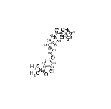 CN(C)C(=O)c1ccc(OCC[C@H]2CC23CCN(C(=O)C(C)(C)c2ccsc2)CC3)cc1Cl